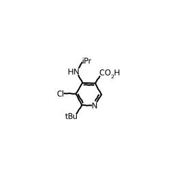 CC(C)Nc1c(C(=O)O)cnc(C(C)(C)C)c1Cl